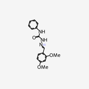 COc1ccc(/C=N/NC(=O)Nc2ccccc2)c(OC)c1